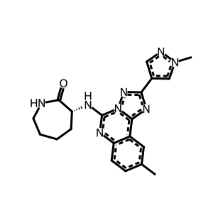 Cc1ccc2nc(N[C@@H]3CCCCNC3=O)n3nc(-c4cnn(C)c4)nc3c2c1